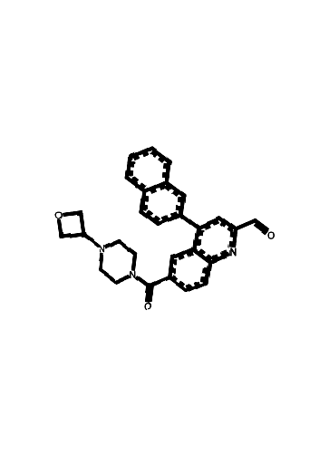 O=Cc1cc(-c2ccc3ccccc3c2)c2cc(C(=O)N3CCN(C4COC4)CC3)ccc2n1